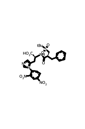 CC(C)(C)S(=O)(=O)C[C@@H](Cc1ccccc1)C(=O)N[C@@H](Cc1cncn1-c1ccc([N+](=O)[O-])cc1[N+](=O)[O-])C(=O)O